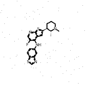 C[C@@H]1[C@@H](c2cc3c(Nc4ccc5scnc5c4)c(F)cnc3s2)CCCN1C